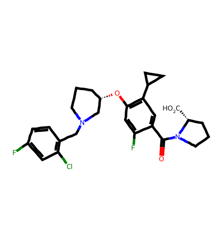 O=C(O)[C@@H]1CCCN1C(=O)c1cc(C2CC2)c(O[C@H]2CCCN(Cc3ccc(F)cc3Cl)C2)cc1F